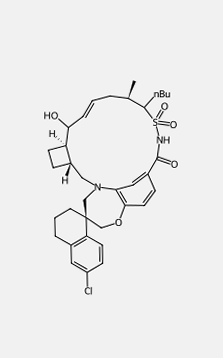 CCCCC1[C@H](C)C/C=C/C(O)[C@@H]2CC[C@H]2CN2C[C@@]3(CCCc4cc(Cl)ccc43)COc3ccc(cc32)C(=O)NS1(=O)=O